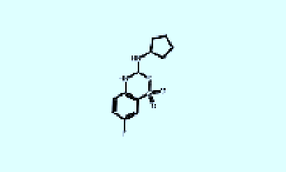 O=S1(=O)SC(NC2CCCC2)Nc2ccc(F)cc21